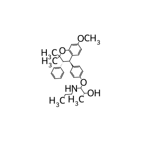 CCCNC(Oc1ccc([C@@H]2c3ccc(OC)cc3OC(C)(C)[C@H]2c2ccccc2)cc1)[C@@H](C)O